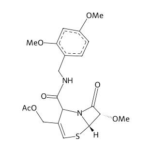 COc1ccc(CNC(=O)C2C(COC(C)=O)=CS[C@H]3[C@@H](OC)C(=O)N23)c(OC)c1